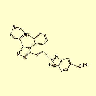 N#Cc1ccc2[nH]c(/C=C/c3nnc(-c4ccncn4)n3-c3ccccc3Cl)nc2c1